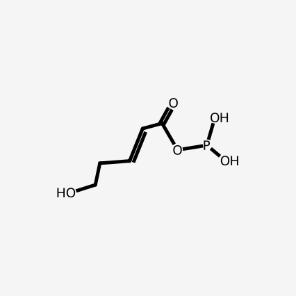 O=C(C=CCCO)OP(O)O